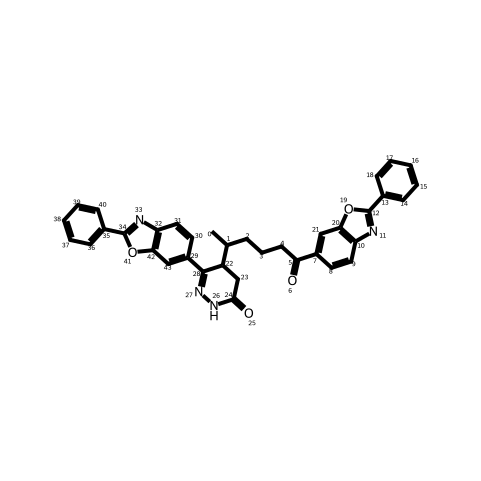 CC(CCCC(=O)c1ccc2nc(-c3ccccc3)oc2c1)C1CC(=O)NN=C1c1ccc2nc(-c3ccccc3)oc2c1